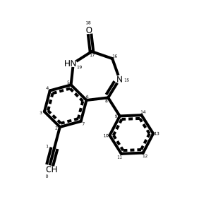 C#Cc1ccc2c(c1)C(c1ccccc1)=NCC(=O)N2